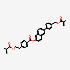 C=C(C)C(=O)OCCc1ccc(C(=O)Oc2ccc3cc(-c4ccc(COC(=O)C(=C)C)cc4)ccc3c2)cc1